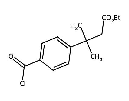 CCOC(=O)CC(C)(C)c1ccc(C(=O)Cl)cc1